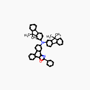 CC1(C)c2ccccc2-c2ccc(N(c3ccc4c(c3)C(C)(C)c3ccccc3-4)c3ccc4c5ccccc5c5oc(-c6ccccc6)nc5c4c3)cc21